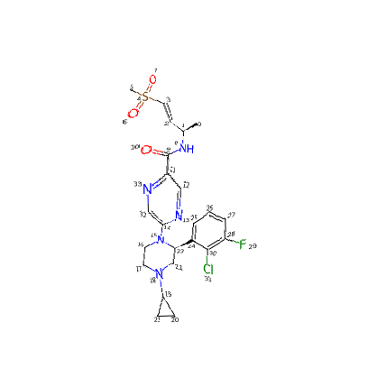 C[C@H](/C=C/S(C)(=O)=O)NC(=O)c1cnc(N2CCN(C3CC3)C[C@@H]2c2cccc(F)c2Cl)cn1